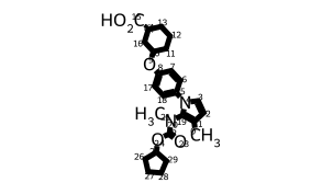 Cc1ccn(-c2ccc(OC3CCC[C@H](C(=O)O)C3)cc2)c1N(C)C(=O)OC1CCCC1